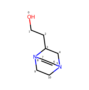 OCCC1CN2C=CN1CC2